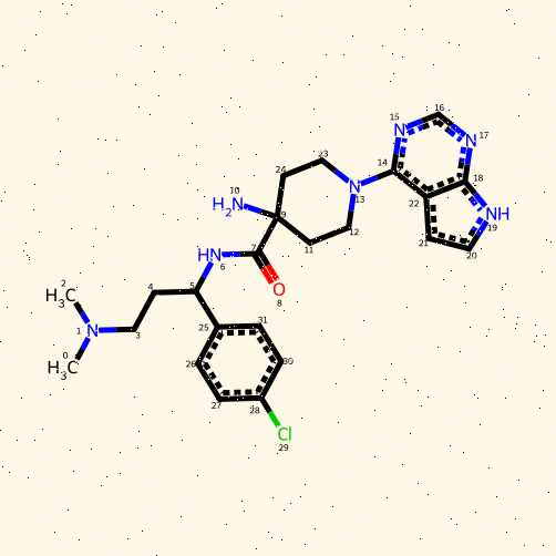 CN(C)CCC(NC(=O)C1(N)CCN(c2ncnc3[nH]ccc23)CC1)c1ccc(Cl)cc1